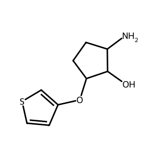 NC1CCC(Oc2ccsc2)C1O